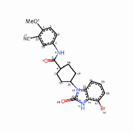 COc1ccc(NC(=O)C2CCC(n3c(=O)[nH]c4c(Br)cccc43)CC2)cc1C#N